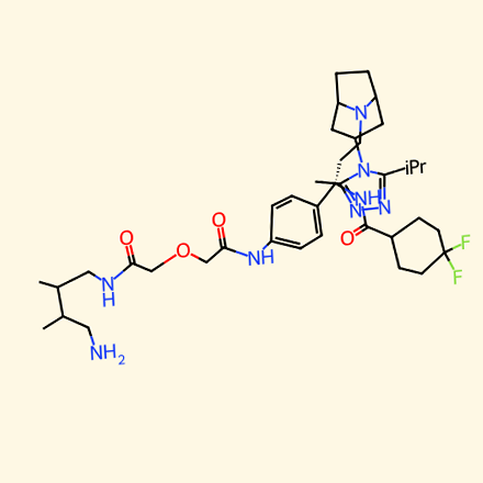 Cc1nnc(C(C)C)n1C1CC2CCC(C1)N2CC[C@H](NC(=O)C1CCC(F)(F)CC1)c1ccc(NC(=O)COCC(=O)NCC(C)C(C)CN)cc1